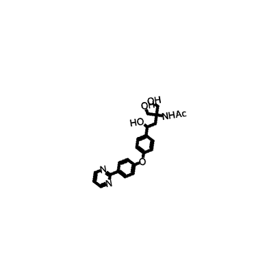 CC(=O)NC(CO)(CO)CC(O)c1ccc(Oc2ccc(-c3ncccn3)cc2)cc1